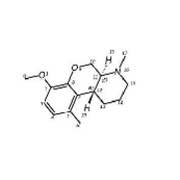 COc1ccc(C)c2c1OC[C@@H]1[C@@H]2CCCN1C